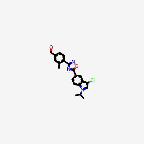 Cc1cc(C=O)ccc1-c1noc(-c2ccc3c(c2)c(Cl)cn3C(C)C)n1